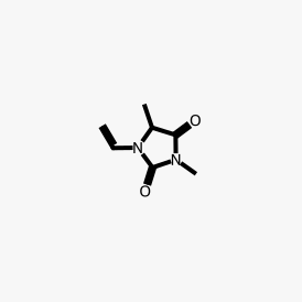 C=CN1C(=O)N(C)C(=O)C1C